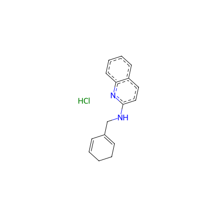 C1=CC(CNc2ccc3ccccc3n2)=CCC1.Cl